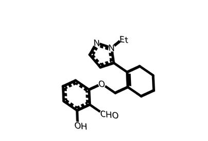 CCn1nccc1C1=C(COc2cccc(O)c2C=O)CCCC1